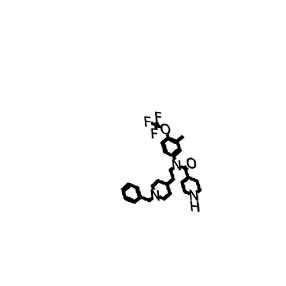 Cc1cc(N(CCC2CCN(Cc3ccccc3)CC2)C(=O)C2CCNCC2)ccc1OC(F)(F)F